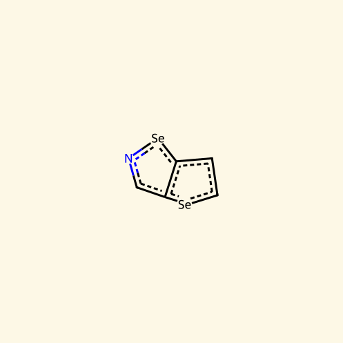 c1cc2[se]ncc2[se]1